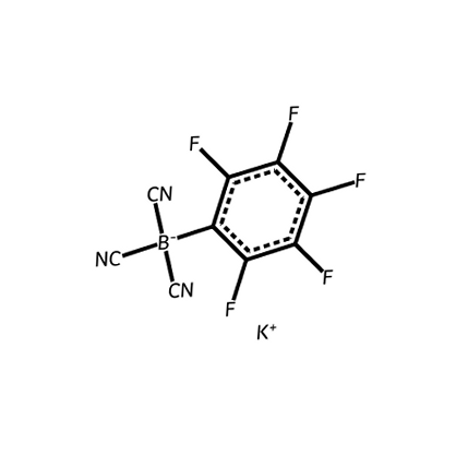 N#C[B-](C#N)(C#N)c1c(F)c(F)c(F)c(F)c1F.[K+]